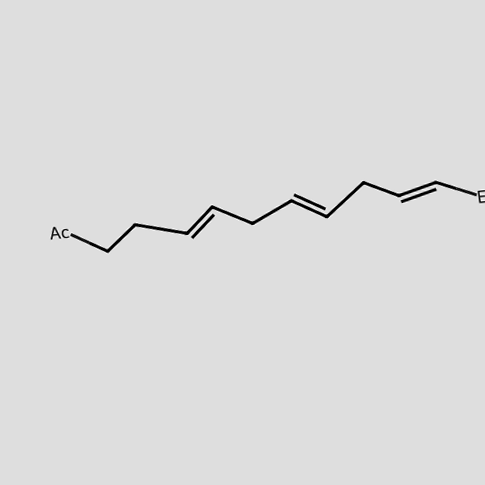 CCC=CC/C=C/C/C=C/CCC(C)=O